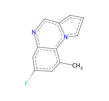 Cc1cc(F)cc2ncc3cccn3c12